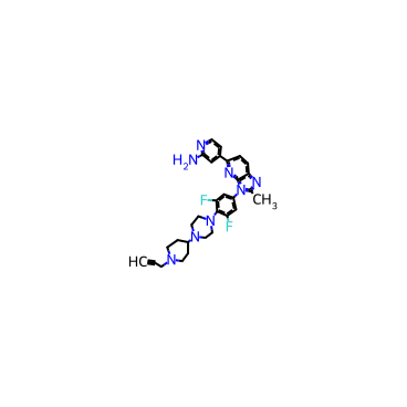 C#CCN1CCC(N2CCN(c3c(F)cc(-n4c(C)nc5ccc(-c6ccnc(N)c6)nc54)cc3F)CC2)CC1